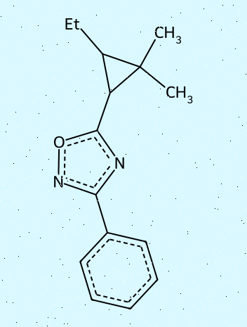 CCC1C(c2nc(-c3ccccc3)no2)C1(C)C